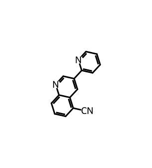 N#Cc1cccc2ncc(-c3ccccn3)cc12